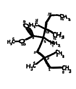 CCC(C)(C)CC(N)(C(=O)OC)C(C)(C)CC